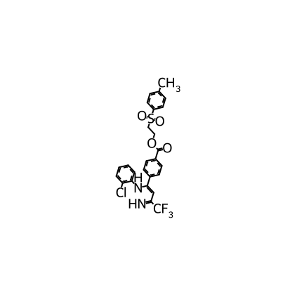 Cc1ccc(S(=O)(=O)CCOC(=O)c2ccc(/C(=C/C(=N)C(F)(F)F)Nc3ccccc3Cl)cc2)cc1